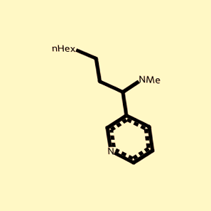 CCCCCCCCC(NC)c1cccnc1